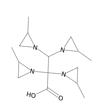 CC1CN1C(N1CC1C)C(C(=O)O)(N1CC1C)N1CC1C